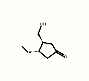 CC[C@H]1CC(=O)C[C@@H]1CO